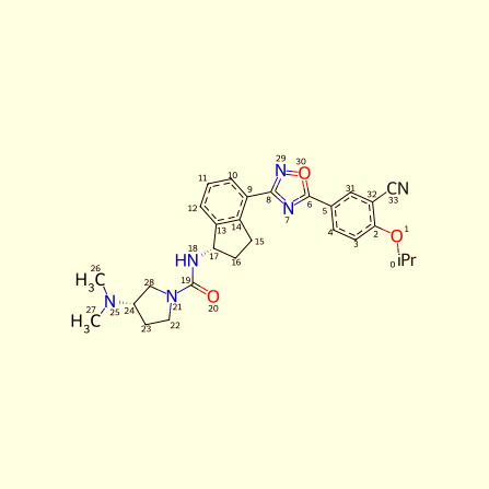 CC(C)Oc1ccc(-c2nc(-c3cccc4c3CC[C@@H]4NC(=O)N3CC[C@H](N(C)C)C3)no2)cc1C#N